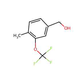 Cc1ccc([CH]O)cc1OC(F)(F)F